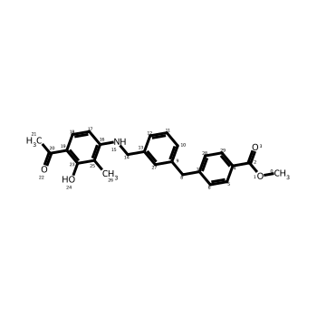 COC(=O)c1ccc(Cc2cccc(CNc3ccc(C(C)=O)c(O)c3C)c2)cc1